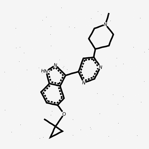 CN1CCC(c2cc(-c3n[nH]c4ccc(OC5(C)CC5)cc34)ncn2)CC1